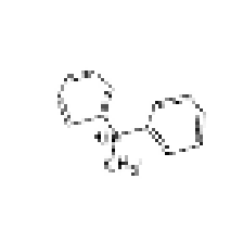 [CH2][Ge]([c]1ccccc1)[c]1ccccc1